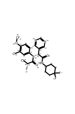 O=C(NC1CCC(F)(F)CC1)[C@@H](c1cncnc1)N(C(=O)[C@H](F)Cl)c1ccc(OC(F)(F)F)c(Cl)c1